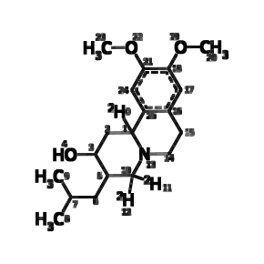 [2H]C12CC(O)C(CC(C)C)C([2H])([2H])N1CCc1cc(OC)c(OC)cc12